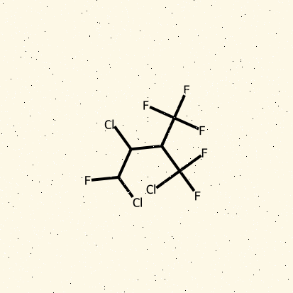 FC(Cl)C(Cl)C(C(F)(F)F)C(F)(F)Cl